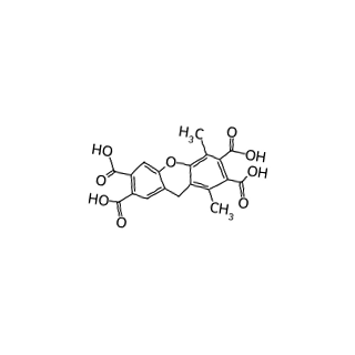 Cc1c2c(c(C)c(C(=O)O)c1C(=O)O)Oc1cc(C(=O)O)c(C(=O)O)cc1C2